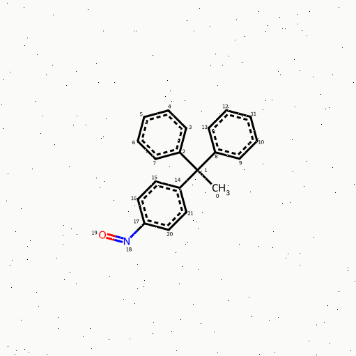 CC(c1ccccc1)(c1ccccc1)c1ccc(N=O)cc1